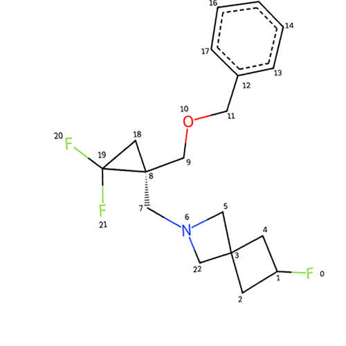 FC1CC2(C1)CN(C[C@@]1(COCc3ccccc3)CC1(F)F)C2